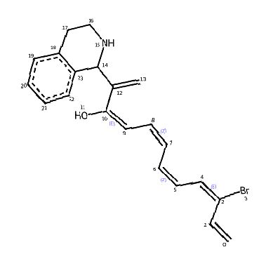 C=C\C(Br)=C/C=C\C=C/C=C(/O)C(=C)C1NCCc2ccccc21